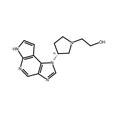 OCCN1CC[C@@H](n2cnc3cnc4[nH]ccc4c32)C1